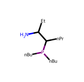 CCCCP(CCCC)C(CCC)C(N)CC